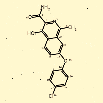 Cc1nc(C(N)=O)c(O)c2ccc(Oc3ccc(Cl)cc3)cc12